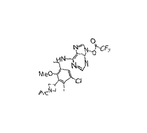 COc1c(C(C)Nc2ncnc3c2ncn3OC(=O)C(F)(F)F)cc(Cl)c(C)c1C1CN(C(C)=O)C1